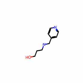 OCCC[N]Cc1ccncc1